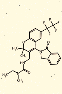 CCN(C)C(=O)NCC1=C(N2Cc3ccccc3C2=O)c2cc(C(F)(F)C(F)(F)F)ccc2OC1(C)C